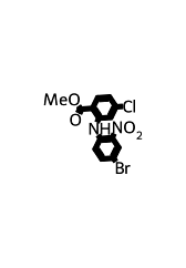 COC(=O)c1ccc(Cl)cc1Nc1ccc(Br)cc1[N+](=O)[O-]